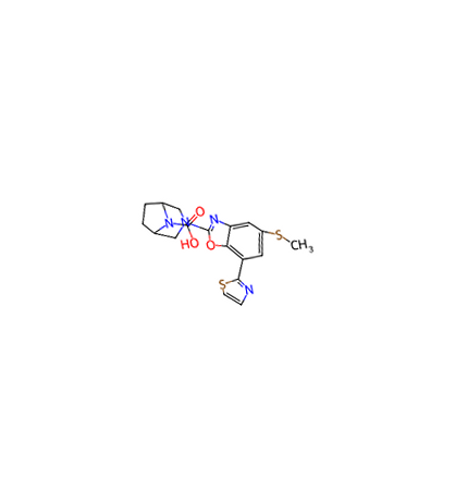 CSc1cc(-c2nccs2)c2oc(N3CC4CCC(C3)N4C(=O)O)nc2c1